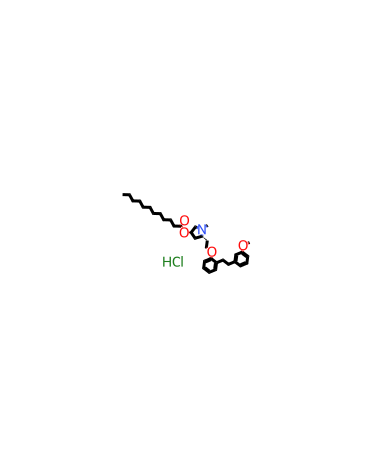 CCCCCCCCCCCC(=O)O[C@@H]1C[C@@H](CCOc2ccccc2CCc2cccc(OC)c2)N(C)C1.Cl